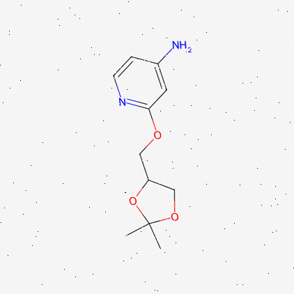 CC1(C)OCC(COc2cc(N)ccn2)O1